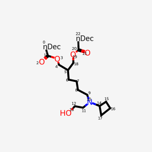 CCCCCCCCCCC(=O)OCC(CCCCN(CCO)C1CCC1)COC(=O)CCCCCCCCCC